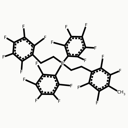 Cc1c(F)c(F)c(CC[B-](CCc2c(F)c(F)c(F)c(F)c2F)(c2c(F)c(F)c(F)c(F)c2F)c2c(F)c(F)c(F)c(F)c2F)c(F)c1F